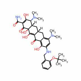 CN(C)c1cc(NCc2ccccc2OC(C)(C)C)c(O)c2c1C[C@H]1C[C@H]3[C@H](N(C)C)C(O)=C(C(N)=O)C(=O)[C@@]3(O)C(O)=C1C2=O